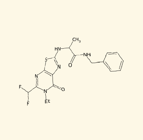 CCn1c(C(F)F)nc2sc(NC(C)C(=O)NCc3ccccc3)nc2c1=O